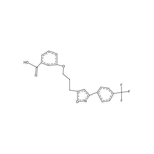 O=C(O)c1cccc(OCCCc2cc(-c3ccc(C(F)(F)F)cc3)no2)c1